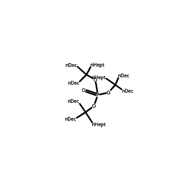 CCCCCCCCCCC(CCCCCCC)(CCCCCCCCCC)OP(=O)(OC(CCCCCCC)(CCCCCCCCCC)CCCCCCCCCC)OC(CCCCCCC)(CCCCCCCCCC)CCCCCCCCCC